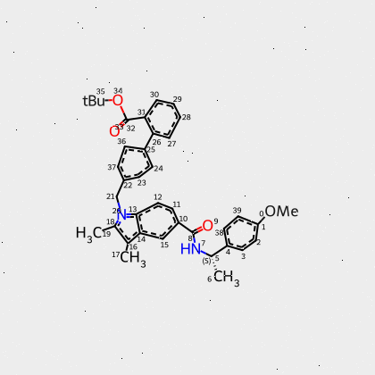 COc1ccc([C@H](C)NC(=O)c2ccc3c(c2)c(C)c(C)n3Cc2ccc(-c3ccccc3C(=O)OC(C)(C)C)cc2)cc1